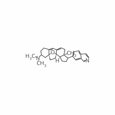 CN(C)C1CCC2=CC3=CC[C@]4(C)C(c5ccc6ccncc6c5)CC[C@H]4[C@@]34CC[C@]2(C1)O4